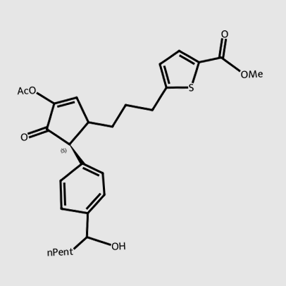 CCCCCC(O)c1ccc([C@H]2C(=O)C(OC(C)=O)=CC2CCCc2ccc(C(=O)OC)s2)cc1